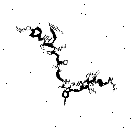 CCN(CC)CCNC(=O)c1c(C)[nH]c(/C=C2\C(=O)N(C(=O)NCCNC(=O)CCC(=O)N[C@H](CCN)C(=O)NCc3ccc(OC)cc3)c3ccc(F)cc32)c1C